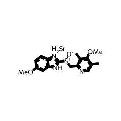 COc1ccc2nc([S@+]([O-])Cc3ncc(C)c(OC)c3C)[nH]c2c1.[SrH2]